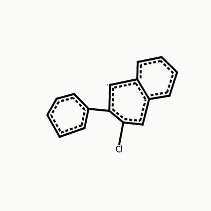 Clc1cc2ccccc2[c]c1-c1ccccc1